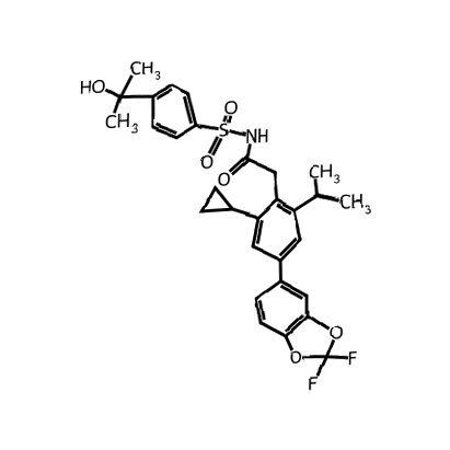 CC(C)c1cc(-c2ccc3c(c2)OC(F)(F)O3)cc(C2CC2)c1CC(=O)NS(=O)(=O)c1ccc(C(C)(C)O)cc1